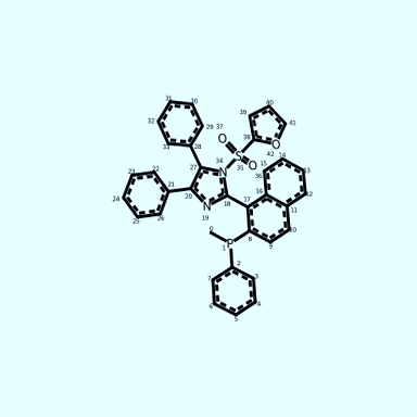 CP(c1ccccc1)c1ccc2ccccc2c1-c1nc(-c2ccccc2)c(-c2ccccc2)n1S(=O)(=O)c1ccco1